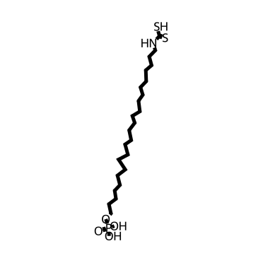 O=P(O)(O)OCCCCCCCCCCCCCCCCCCCCCCCNC(=S)S